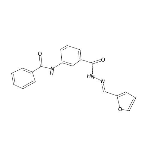 O=C(N/N=C/c1ccco1)c1cccc(NC(=O)c2ccccc2)c1